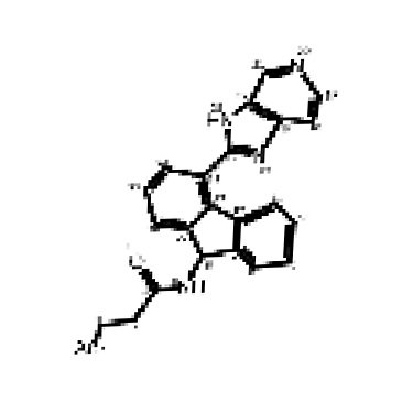 CC(=O)CCC(=O)NC1c2ccccc2-c2c(-c3nc4ccncc4[nH]3)cccc21